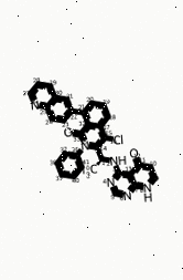 C[C@H](Nc1ncnc2[nH]ccc(=O)c12)c1c(Cl)c2cccc(-c3ccc4ncccc4c3)c2c(=O)n1-c1ccccc1